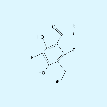 CC(C)Cc1c(O)c(F)c(O)c(C(=O)CF)c1F